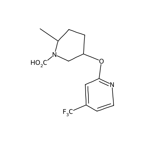 CC1CCC(Oc2cc(C(F)(F)F)ccn2)CN1C(=O)O